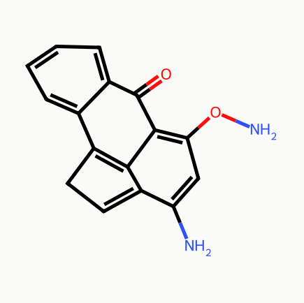 NOc1cc(N)c2c3c1C(=O)c1ccccc1C=3CC=2